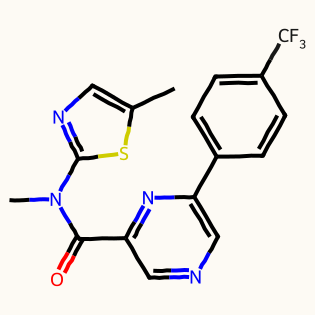 Cc1cnc(N(C)C(=O)c2cncc(-c3ccc(C(F)(F)F)cc3)n2)s1